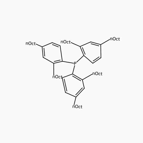 CCCCCCCCc1ccc(P(c2ccc(CCCCCCCC)cc2CCCCCCCC)c2ccc(CCCCCCCC)cc2CCCCCCCC)c(CCCCCCCC)c1